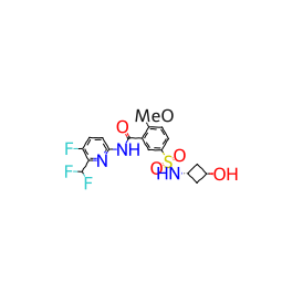 COc1ccc(S(=O)(=O)N[C@H]2C[C@H](O)C2)cc1C(=O)Nc1ccc(F)c(C(F)F)n1